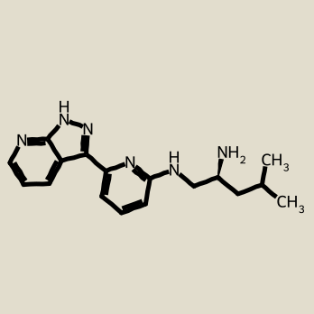 CC(C)C[C@H](N)CNc1cccc(-c2n[nH]c3ncccc23)n1